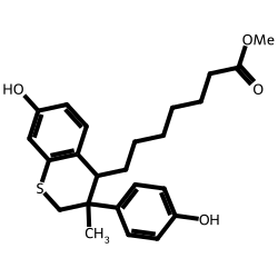 COC(=O)CCCCCCC1c2ccc(O)cc2SCC1(C)c1ccc(O)cc1